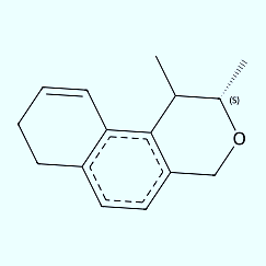 CC1c2c(ccc3c2C=CCC3)CO[C@H]1C